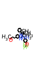 CC(=O)CCc1ccc2c(c1)nc(Nc1ccc(OC(F)(F)F)cc1)n2[C@@H](c1ccccc1)C(C)(C)C